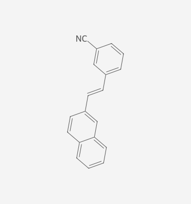 N#Cc1cccc(C=Cc2ccc3ccccc3c2)c1